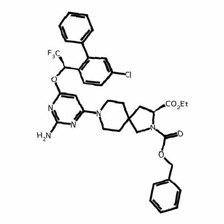 CCOC(=O)[C@@H]1CC2(CCN(c3cc(O[C@H](c4ccc(Cl)cc4-c4ccccc4)C(F)(F)F)nc(N)n3)CC2)CN1C(=O)OCc1ccccc1